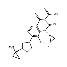 Cc1c(N2CC[C@@H](C3(N)CC3)C2)ccc2c1N([C@@H]1C[C@@H]1F)C(=O)C(C(=O)O)C2=O